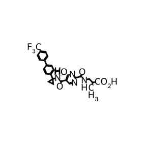 CC(CNC(=O)c1ncc(C(=O)NC2(c3ccc(-c4ccc(C(F)(F)F)cc4)cc3)CC2)c(O)n1)C(=O)O